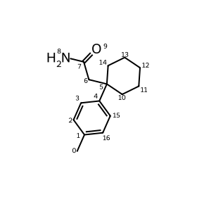 Cc1ccc(C2(CC(N)=O)CCCCC2)cc1